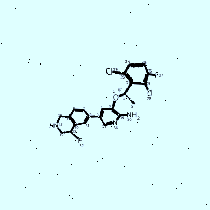 C[C@@H](Oc1cc(-c2ccc3c(c2)C(F)CNC3)cnc1N)c1c(Cl)ccc(F)c1Cl